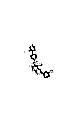 CCCCc1nc(=O)c(S(=O)(=O)c2ccc(-c3ccncc3C)cc2)c(O)n1C=Cc1cccc(C#N)c1